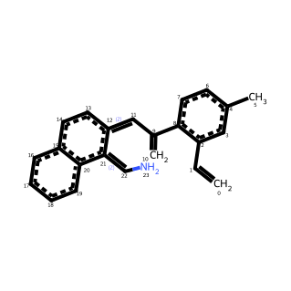 C=Cc1cc(C)ccc1C(=C)/C=c1/ccc2ccccc2/c1=C/N